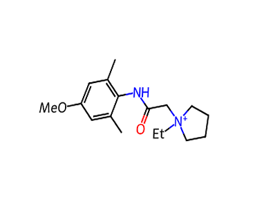 CC[N+]1(CC(=O)Nc2c(C)cc(OC)cc2C)CCCC1